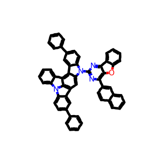 c1ccc(-c2ccc3c(c2)c2c4c5ccccc5n5c6ccc(-c7ccccc7)cc6c(cc2n3-c2nc(-c3ccc6ccccc6c3)c3oc6ccccc6c3n2)c45)cc1